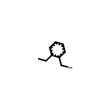 CCc1ccccc1C[Se]